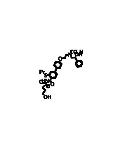 CC(C)Sc1cc(-c2ccc(OCCN(C[C@H](O)c3ccccc3)C(=O)O)cc2)ccc1C(=O)NS(=O)(=O)CCCO